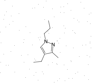 CCCn1cc(CC)c(C)n1